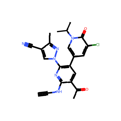 C#CNc1nc(-n2cc(C#N)c(C)n2)c(-c2cc(Cl)c(=O)n(C(C)C)c2)cc1C(C)=O